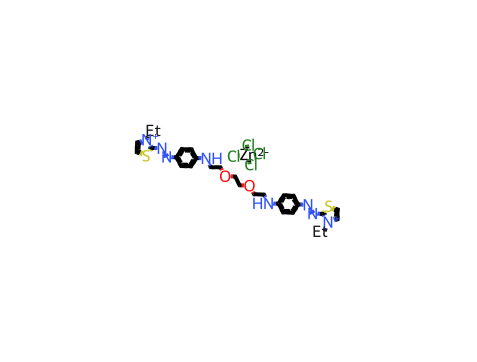 CC[n+]1ccsc1/N=N/c1ccc(NCCOCCOCCNc2ccc(/N=N/c3scc[n+]3CC)cc2)cc1.[Cl][Zn-2]([Cl])([Cl])[Cl]